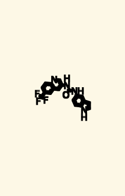 O=C(Nc1cnc2ccc(C(F)(F)F)cc2c1)Nc1ccc2[nH]ccc2c1